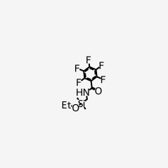 CCO[Si](C)(C)CNC(=O)c1c(F)c(F)c(F)c(F)c1F